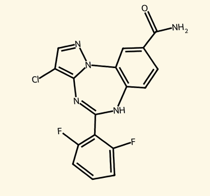 NC(=O)c1ccc2c(c1)-n1ncc(Cl)c1N=C(c1c(F)cccc1F)N2